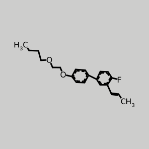 C/C=C/c1cc(-c2ccc(OCCOCCCC)cc2)ccc1F